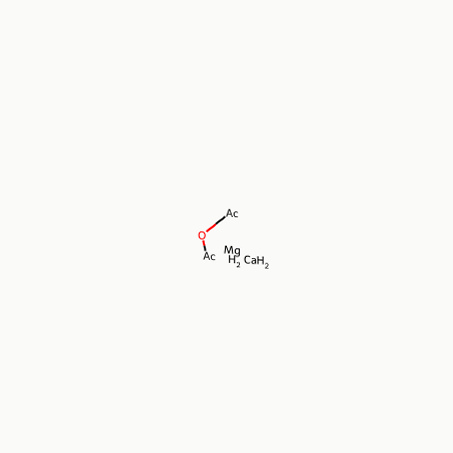 CC(=O)OC(C)=O.[CaH2].[MgH2]